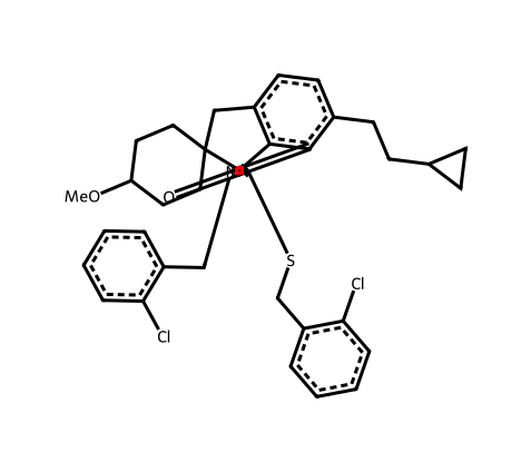 COC1CCC2(CC1)Cc1ccc(CCC3CC3)cc1C21N=C(SCc2ccccc2Cl)N(Cc2ccccc2Cl)C1=O